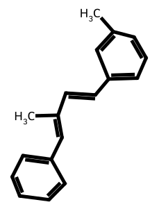 CC(C=Cc1cccc(C)c1)=Cc1ccccc1